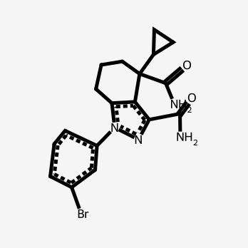 NC(=O)c1nn(-c2cccc(Br)c2)c2c1C(C(N)=O)(C1CC1)CCC2